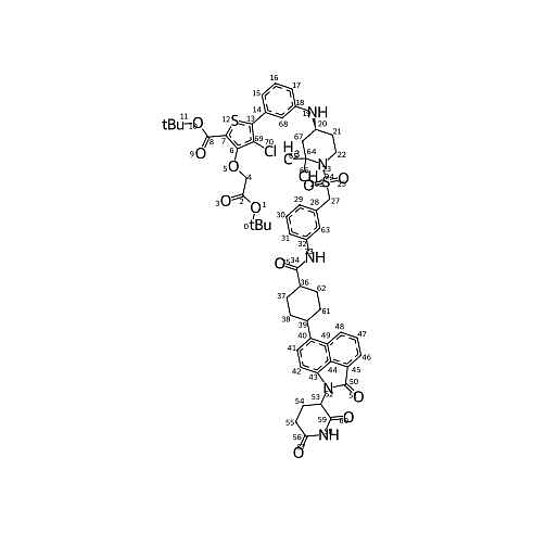 CC(C)(C)OC(=O)COc1c(C(=O)OC(C)(C)C)sc(-c2cccc(N[C@H]3CCN(S(=O)(=O)Cc4cccc(NC(=O)C5CCC(c6ccc7c8c(cccc68)C(=O)N7C6CCC(=O)NC6=O)CC5)c4)C(C)(C)C3)c2)c1Cl